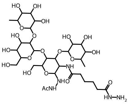 CC(=O)NNC1OC(CO)C(OC2OC(CO)C(O)C(O)C2OC2OC(C)C(O)C(O)C2O)C(OC2OC(C)C(O)C(O)C2O)C1NC(=O)CCCCC(=O)NN